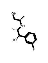 C[C@H](CO)N[C@@H](C)[C@H](O)c1cccc(F)c1